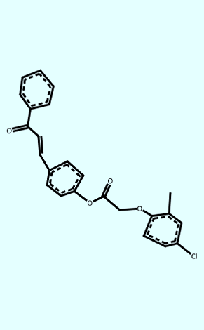 Cc1cc(Cl)ccc1OCC(=O)Oc1ccc(C=CC(=O)c2ccccc2)cc1